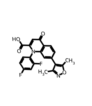 Cc1noc(C)c1-c1ccc2c(=O)cc(C(=O)O)n(-c3ccc(F)cc3F)c2c1